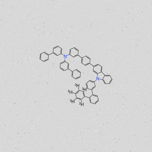 [2H]c1c([2H])c([2H])c(-c2ccccc2-c2cccc(-n3c4ccccc4c4ccc(-c5ccc(-c6cccc(N(c7cccc(-c8ccccc8)c7)c7cccc(-c8ccccc8)c7)c6)cc5)cc43)c2)c([2H])c1[2H]